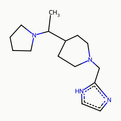 CC(C1CCN(Cc2ncc[nH]2)CC1)N1CCCC1